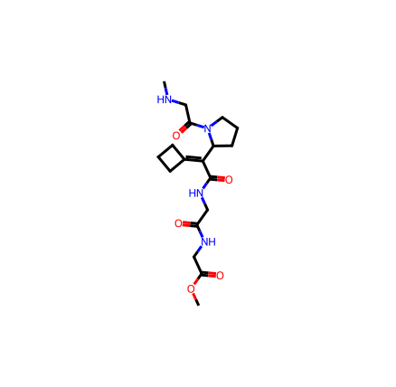 CNCC(=O)N1CCCC1C(C(=O)NCC(=O)NCC(=O)OC)=C1CCC1